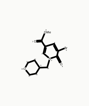 COC(=O)c1cc(Br)c(=O)n(CC2CCOCC2)c1